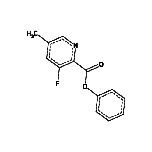 Cc1cnc(C(=O)Oc2ccccc2)c(F)c1